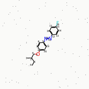 CCC(C)COc1ccc(N=Nc2ccc(F)cc2)cc1